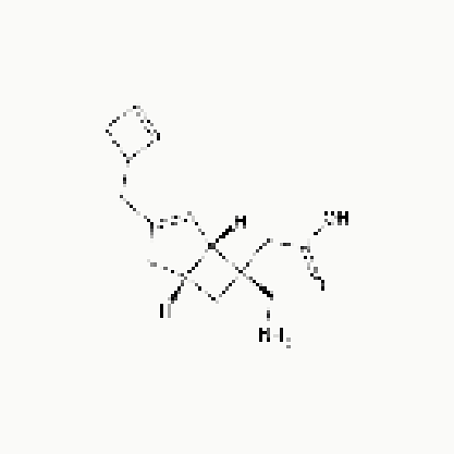 NC[C@@]1(CC(=O)O)C[C@@H]2CC(CC3C=CC3)=C[C@@H]21